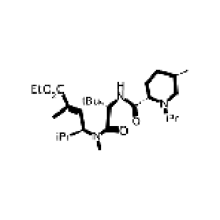 CCOC(=O)/C(C)=C/[C@H](C(C)C)N(C)C(=O)[C@@H](NC(=O)[C@@H]1CC[C@H](C)CN1C(C)C)C(C)(C)C